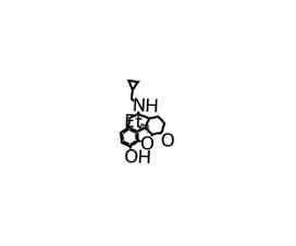 CC[C@@]12c3c4ccc(O)c3OC1C(=O)CCC2C(NCC1CC1)C4